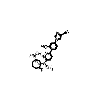 CN[C@H]1CCC[C@@H](F)[C@@H](N(C)c2ccc(-c3ccc(-n4cnc(C#N)c4)cc3O)nn2)C1